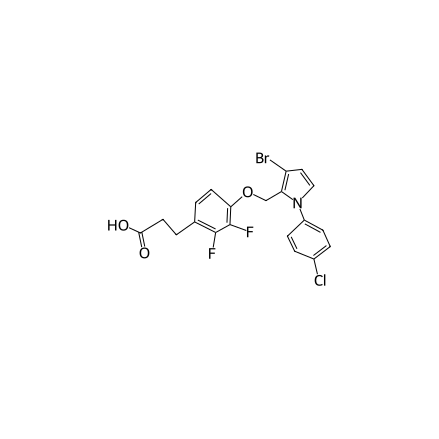 O=C(O)CCc1ccc(OCc2c(Br)ccn2-c2ccc(Cl)cc2)c(F)c1F